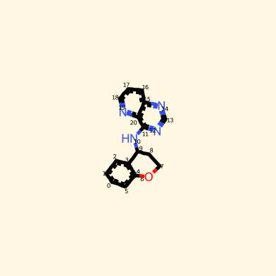 c1ccc2c(c1)OCCC2Nc1ncnc2cccnc12